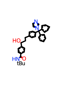 CC(C)(C)NC(=O)c1ccc(C(O)CCc2ccc(C(c3ccccc3)(c3ccccc3)n3ccnc3)cc2)cc1